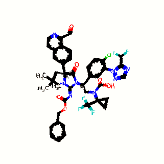 CC(C)(C)C[C@]1(c2ccc3c(C=O)nccc3c2)NC(=NC(=O)OCc2ccccc2)N([C@H](CN(C(=O)O)C2(C(F)(F)F)CC2)c2ccc(Cl)c(-n3ncnc3C(F)F)c2)C1=O